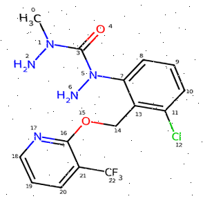 CN(N)C(=O)N(N)c1cccc(Cl)c1COc1ncccc1C(F)(F)F